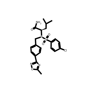 Cc1nc(-c2ccc(CN([C@H](CC(C)C)C(N)=O)S(=O)(=O)c3ccc(Cl)cc3)cc2)no1